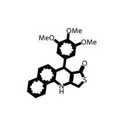 COc1cc(C2C3=C(CSC3=O)Nc3c2ccc2ccccc32)cc(OC)c1OC